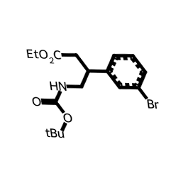 CCOC(=O)CC(CNC(=O)OC(C)(C)C)c1cccc(Br)c1